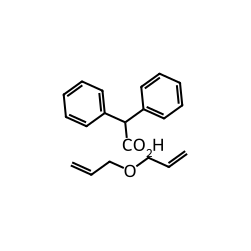 C=CCOCC=C.O=C(O)C(c1ccccc1)c1ccccc1